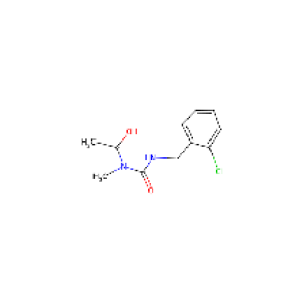 C[C](O)N(C)C(=O)NCc1ccccc1Cl